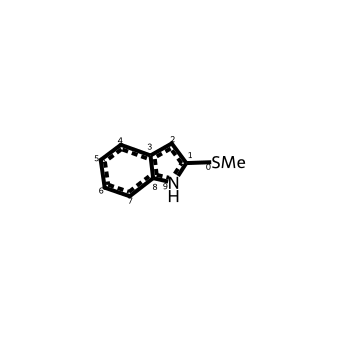 CSc1cc2ccccc2[nH]1